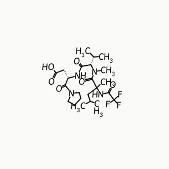 CC(C)CC(C)(NC(=O)C(F)(F)F)C(=O)N(C)[C@H](C(=O)N[C@@H](CC(=O)O)C(=O)N1CCCC1)C(C)C